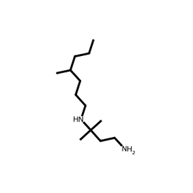 CCCC(C)CCCNC(C)(C)CCN